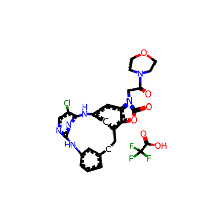 O=C(Cn1c(=O)oc2c3cc(cc21)Nc1nc(ncc1Cl)Nc1cccc(c1)CC3)N1CCOCC1.O=C(O)C(F)(F)F